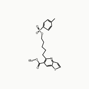 Cc1ccc(S(=O)(=O)OCCCCCc2nc3ccsc3cc2C(=O)OC(C)(C)C)cc1